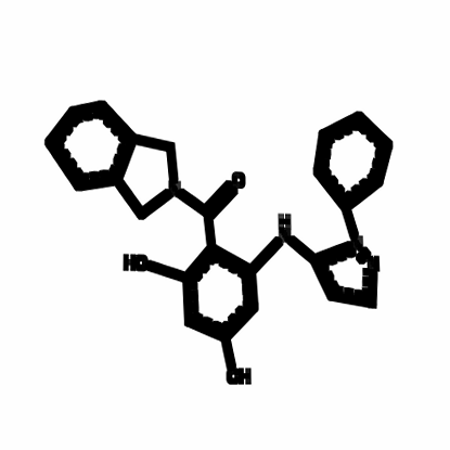 O=C(c1c(O)cc(O)cc1Nc1ccnn1-c1ccccc1)N1Cc2ccccc2C1